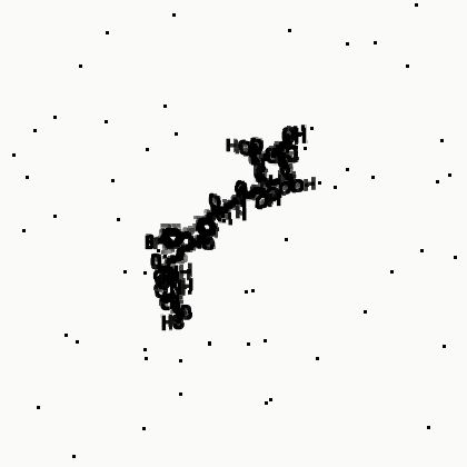 CC(=O)[C@@H](CCC(=O)O)NC(=O)N[C@H](CCCCN(Cc1ccc(Br)cc1)C(=O)c1ccc(CNC(=O)CCCCNC(=O)CCC(C(=O)O)N2CCN(CC(=O)O)CCN(CC(=O)O)CCN(CC(=O)O)CC2)cc1)C(=O)O